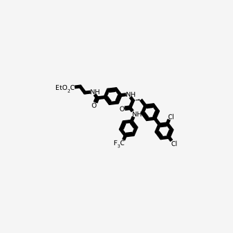 CCOC(=O)CCNC(=O)c1ccc(N[C@H](Cc2ccc(-c3ccc(Cl)cc3Cl)cc2)C(=O)Nc2ccc(C(F)(F)F)cc2)cc1